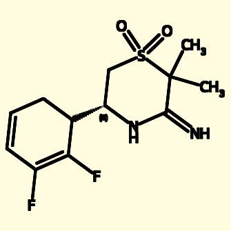 CC1(C)C(=N)N[C@H](C2CC=CC(F)=C2F)CS1(=O)=O